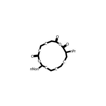 CCCCCCCCCC1CCCCCCC(CCC)C(=O)OC(=O)CCCCC(=O)O1